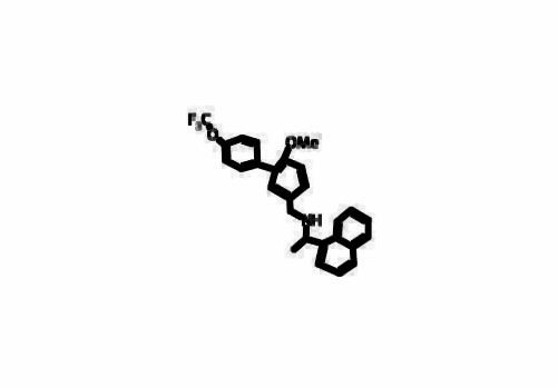 COc1ccc(CNC(C)c2cccc3ccccc23)cc1-c1ccc(OC(F)(F)F)cc1